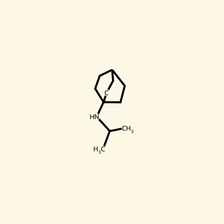 CC(C)NC12CCC(CC1)CC2